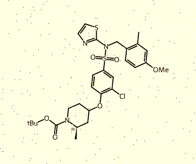 COc1ccc(CN(c2nccs2)S(=O)(=O)c2ccc(OC3CCN(C(=O)OC(C)(C)C)[C@H](C)C3)c(Cl)c2)c(C)c1